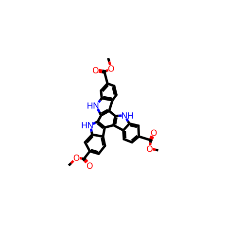 COC(=O)c1ccc2c(c1)[nH]c1c3[nH]c4cc(C(=O)OC)ccc4c3c3c4ccc(C(=O)OC)cc4[nH]c3c21